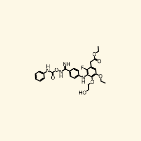 CCOC(=O)Cc1cc(OCC)c(OCCO)c(Nc2ccc(C(=N)NOC(=O)Nc3ccccc3)cc2)c1F